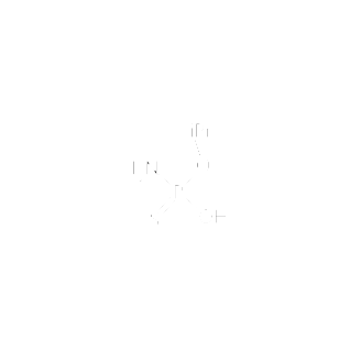 CC(C)OP(N)(O)=S